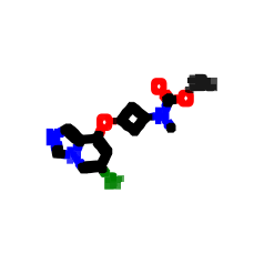 CN(C(=O)OC(C)(C)C)[C@H]1C[C@H](Oc2cc(Br)cn3cncc23)C1